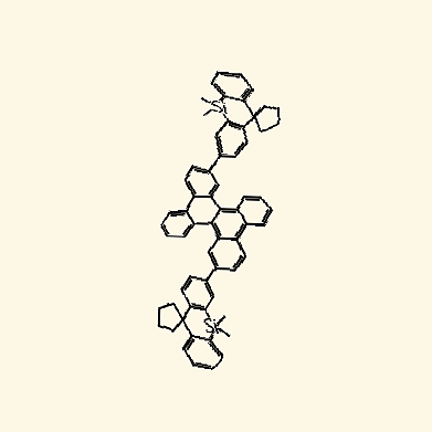 C[Si]1(C)c2ccccc2C2(CCCC2)c2ccc(-c3ccc4c5ccccc5c5c6cc(-c7ccc8c(c7)[Si](C)(C)c7ccccc7C87CCCC7)ccc6c6ccccc6c5c4c3)cc21